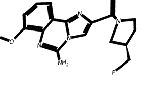 COc1cccc2c1nc(N)n1cc(C(=O)N3CC[C@@H](CF)C3)nc21